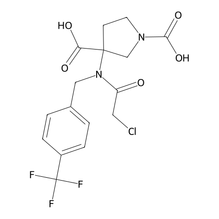 O=C(O)N1CCC(C(=O)O)(N(Cc2ccc(C(F)(F)F)cc2)C(=O)CCl)C1